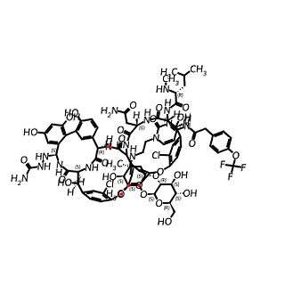 CN[C@H](CC(C)C)C(=O)N[C@H]1C(=O)N[C@@H](CC(N)=O)C(=O)NC2C(=O)N[C@H]3C(=O)N[C@H](C(=O)N[C@@H](NNC(N)=O)c4cc(O)cc(O)c4-c4cc3ccc4O)[C@H](O)c3ccc(c(Cl)c3)Oc3cc2cc(c3O[C@@H]2O[C@H](CO)[C@@H](O)[C@H](O)[C@H]2O[C@H]2C[C@](C)(NCCn3ccc(NC(=O)Cc4ccc(OC(F)(F)F)cc4)nc3=O)[C@H](O)[C@H](C)O2)Oc2ccc(cc2Cl)[C@H]1O